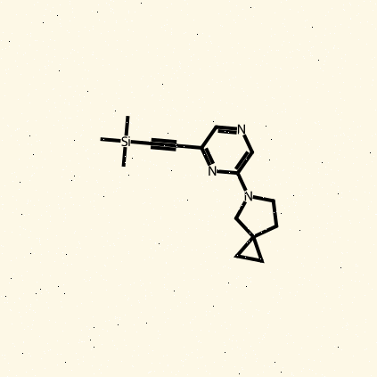 C[Si](C)(C)C#Cc1cncc(N2CCC3(CC3)C2)n1